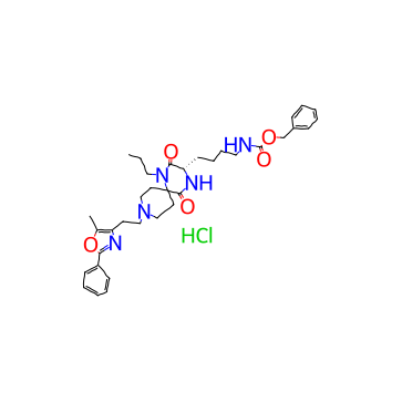 CCCN1C(=O)[C@H](CCCCNC(=O)OCc2ccccc2)NC(=O)C12CCN(CCc1nc(-c3ccccc3)oc1C)CC2.Cl